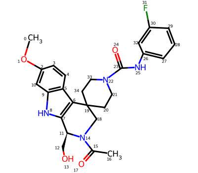 COc1ccc2c3c([nH]c2c1)[C@H](CO)N(C(C)=O)CC31CCN(C(=O)Nc2cccc(F)c2)CC1